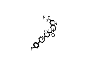 C[C@]1(C(=O)N2CCc3ncc(C(F)(F)F)cc3C2)CC[C@@H](N2CCC(c3ccc(F)cc3)CC2)CO1